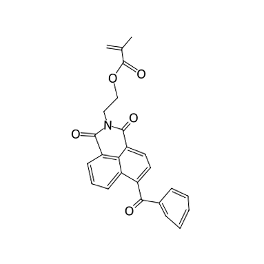 C=C(C)C(=O)OCCN1C(=O)c2cccc3c(C(=O)c4ccccc4)ccc(c23)C1=O